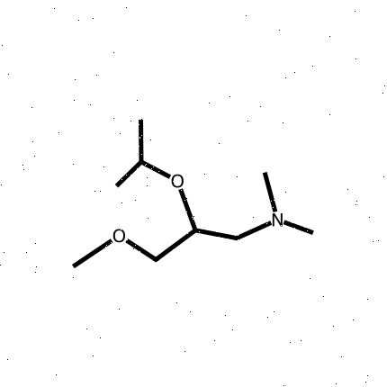 COCC(CN(C)C)OC(C)C